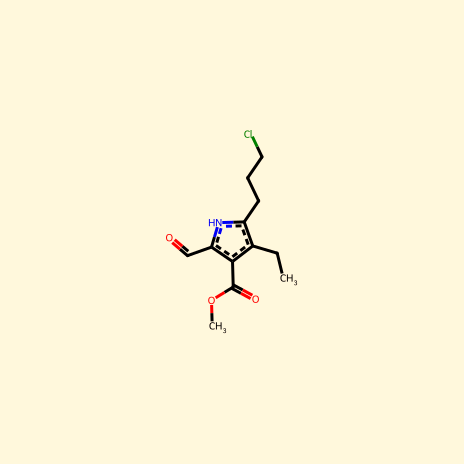 CCc1c(CCCCl)[nH]c(C=O)c1C(=O)OC